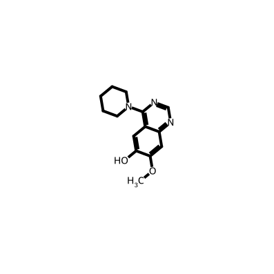 COc1cc2ncnc(N3CCCCC3)c2cc1O